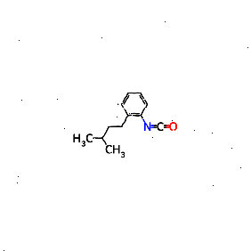 CC(C)CCc1[c]cccc1N=C=O